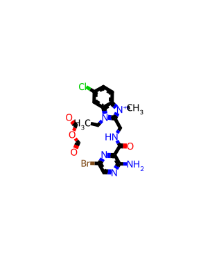 CCn1c(CNC(=O)c2nc(Br)cnc2N)[n+](C)c2ccc(Cl)cc21.O=COC=O